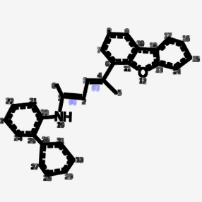 C/C(=C\C=C(/C)c1cccc2c1oc1ccccc12)Nc1ccccc1-c1ccccc1